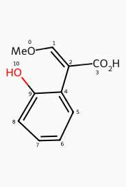 CO/C=C(/C(=O)O)c1ccccc1O